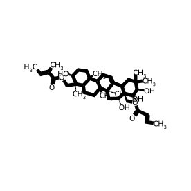 C/C=C/C(=O)OC[C@@]12C(CC(C)(C)[C@@H](O)[C@@H]1O)C1=CCC3[C@@]4(C)CC[C@H](O)[C@](C)(COC(=O)/C(C)=C/C)C4CC[C@@]3(C)[C@]1(C)C[C@H]2O